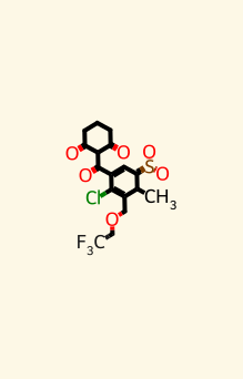 CC1C(COCC(F)(F)F)=C(Cl)C(C(=O)C2C(=O)CCCC2=O)=CC1=S(=O)=O